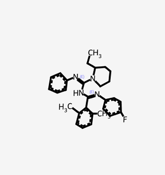 CCC1CCCCN1/C(=N/c1ccccc1)N/C(=N/c1ccc(F)cc1)c1c(C)cccc1C